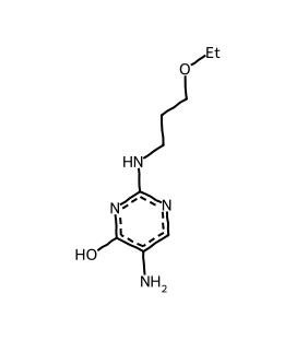 CCOCCCNc1ncc(N)c(O)n1